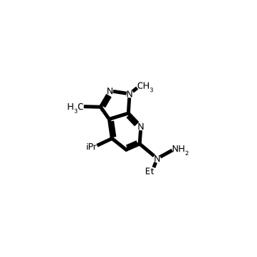 CCN(N)c1cc(C(C)C)c2c(C)nn(C)c2n1